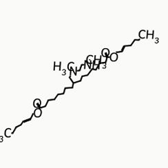 CCCC/C=C/COC(=O)CCCCCCCC(CCCCCCCC(=O)OC/C=C/CCCC)CN(C)CCNC